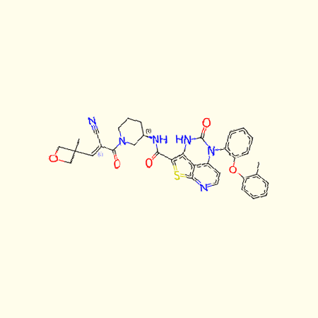 Cc1ccccc1Oc1ccccc1N1C(=O)Nc2c(C(=O)N[C@@H]3CCCN(C(=O)/C(C#N)=C/C4(C)COC4)C3)sc3nccc1c23